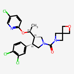 C[C@H](Oc1ccc(Cl)cn1)[C@@H]1CN(C(=O)N2CC3(COC3)C2)C[C@@H]1c1ccc(Cl)c(Cl)c1